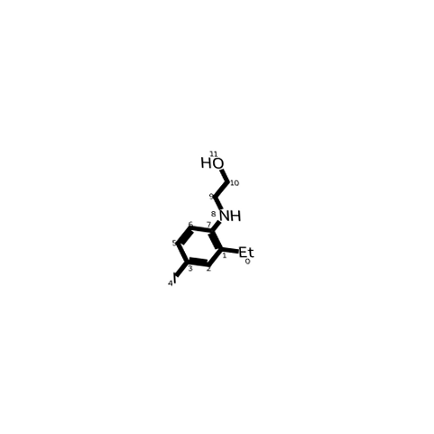 CCc1cc(I)ccc1NCCO